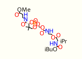 COC(=O)CCNC(=O)[C@@H]1OP(=O)(OCOC(=O)NCCOC(=O)[C@@H](NC(=O)OCC(C)C)C(C)C)OCC1(C)C